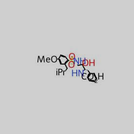 COc1ccc(S(=O)(=O)NC[C@@H](O)[C@H](Cc2ccccc2)NC(=O)O)c(CC(C)C)c1